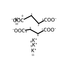 O=C([O-])CCC(=O)[O-].O=C([O-])CCC(=O)[O-].[K+].[K+].[K+].[K+]